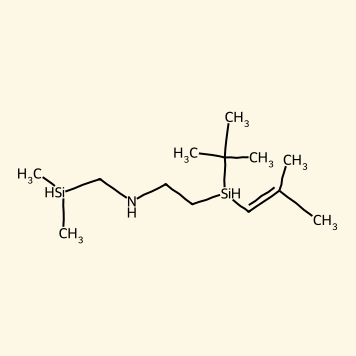 CC(C)=C[SiH](CCNC[SiH](C)C)C(C)(C)C